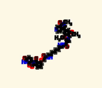 COc1cc(-c2cn(C)c(=O)c3cnccc23)cc(OC)c1CN1CC(C(=O)NCCCCCCCCNC(=O)COc2cccc3c2C(=O)N(C2CCC(=O)NC2=O)C3=O)C1